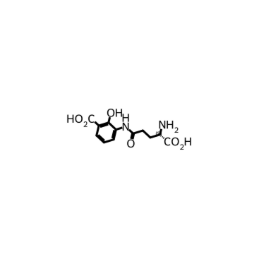 N[C@@H](CCC(=O)Nc1cccc(C(=O)O)c1O)C(=O)O